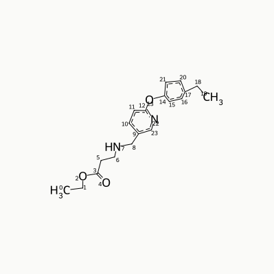 CCOC(=O)CCNCc1ccc(Oc2ccc(CC)cc2)nc1